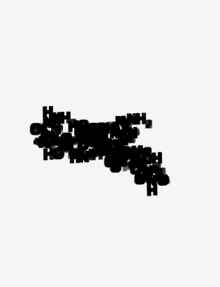 CO[C@@H]1[C@H](P(=O)([O-])OC[C@H]2O[C@@H](n3ccc(=O)[nH]c3=O)[C@H](O)[C@@H]2O)[C@@H](COP(=O)(O)OP(=O)(O)OP(=O)(O)OC[C@H]2OC(n3c[n+](C)c4c(=O)[nH]c(N)nc43)[C@H](O)[C@@H]2CC(=O)NC(C)C)O[C@H]1n1cnc2c(N)ncnc21